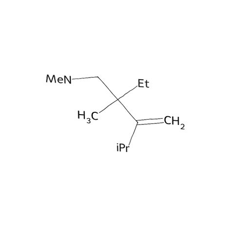 C=C(C(C)C)C(C)(CC)CNC